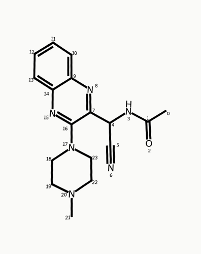 CC(=O)NC(C#N)c1nc2ccccc2nc1N1CCN(C)CC1